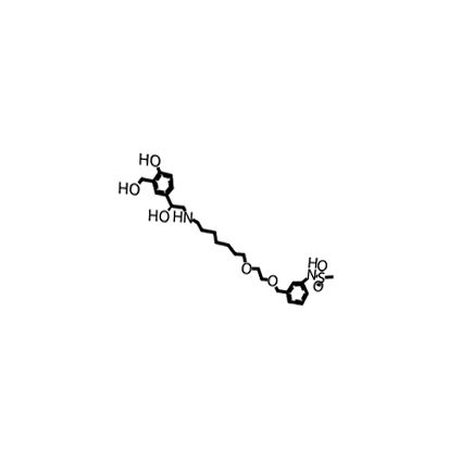 CS(=O)(=O)Nc1cccc(COCCOCCCCCCCNC[C@@H](O)c2ccc(O)c(CO)c2)c1